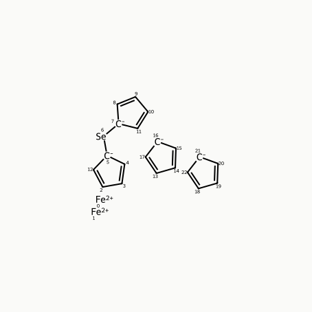 [Fe+2].[Fe+2].c1cc[c-]([Se][c-]2cccc2)c1.c1cc[cH-]c1.c1cc[cH-]c1